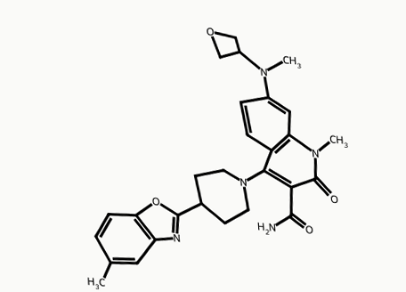 Cc1ccc2oc(C3CCN(c4c(C(N)=O)c(=O)n(C)c5cc(N(C)C6COC6)ccc45)CC3)nc2c1